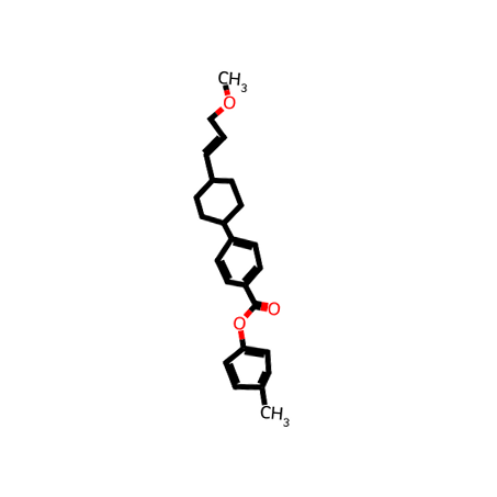 COCC=CC1CCC(c2ccc(C(=O)Oc3ccc(C)cc3)cc2)CC1